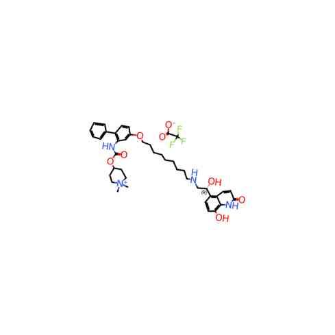 C[N+]1(C)CCC(OC(=O)Nc2cc(OCCCCCCCCCNC[C@H](O)c3ccc(O)c4[nH]c(=O)ccc34)ccc2-c2ccccc2)CC1.O=C([O-])C(F)(F)F